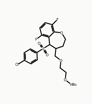 CCCCOCCOCC1CCOc2c(F)ccc(F)c2C1S(=O)(=O)c1ccc(Cl)cc1